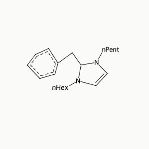 CCCCCCN1C=CN(CCCCC)C1Cc1ccccc1